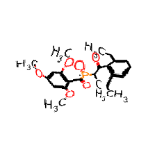 CCc1cccc(CC)c1C(=O)C(C)[P](=O)C(=O)c1c(OC)cc(OC)cc1OC